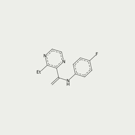 C=C(Nc1ccc(F)cc1)c1nccnc1CC